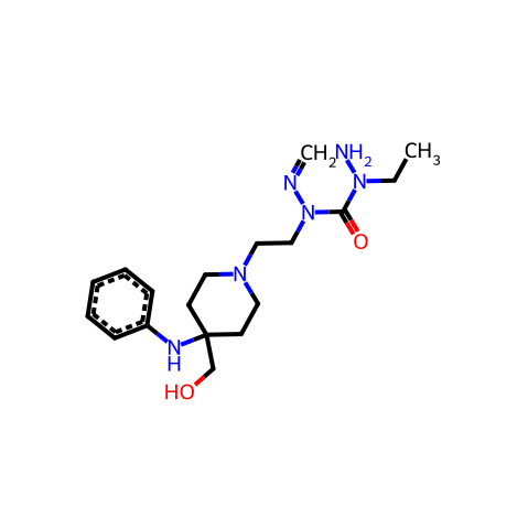 C=NN(CCN1CCC(CO)(Nc2ccccc2)CC1)C(=O)N(N)CC